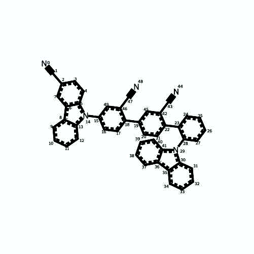 N#Cc1ccc2c(c1)c1ccccc1n2-c1ccc(-c2ccc(-c3ccccc3-n3c4ccccc4c4ccccc43)c(C#N)c2)c(C#N)c1